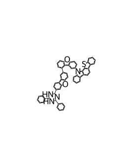 c1ccc(C2N=C(c3ccc4c(c3)oc3ccc(-c5cccc6oc7ccc(-n8c9ccccc9c9ccc%10c%11ccccc%11sc%10c98)cc7c56)cc34)NC(c3ccccc3)N2)cc1